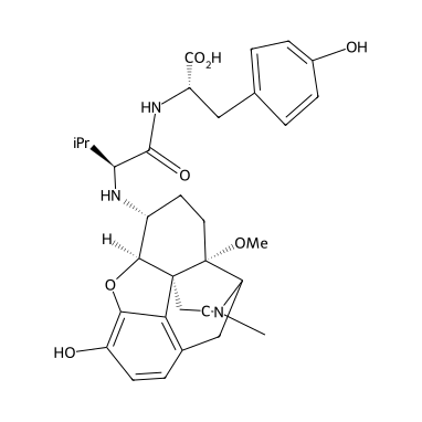 CO[C@@]12CC[C@@H](N[C@H](C(=O)N[C@@H](Cc3ccc(O)cc3)C(=O)O)C(C)C)[C@@H]3Oc4c(O)ccc5c4[C@@]31CCN(C)C2C5